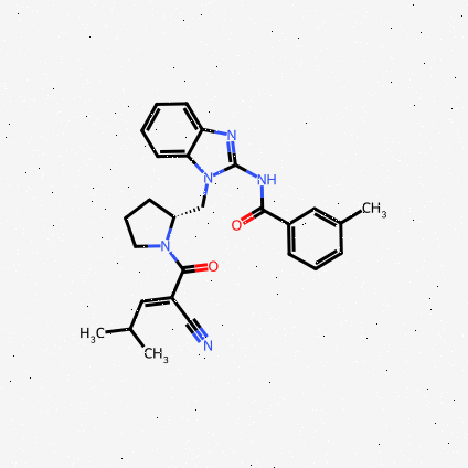 Cc1cccc(C(=O)Nc2nc3ccccc3n2C[C@H]2CCCN2C(=O)/C(C#N)=C/C(C)C)c1